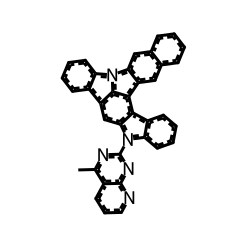 Cc1nc(-n2c3ccccc3c3c4c5cc6ccccc6cc5n5c6ccccc6c(cc32)c45)nc2ncccc12